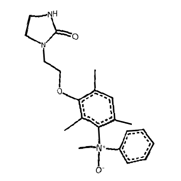 Cc1cc(C)c([N+](C)([O-])c2ccccc2)c(C)c1OCCN1CCNC1=O